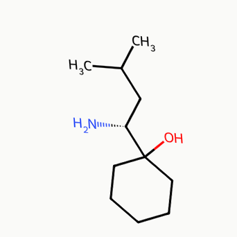 CC(C)C[C@@H](N)C1(O)CCCCC1